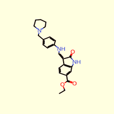 CCOC(=O)c1ccc2c(c1)NC(=O)C2=CNc1ccc(CN2CCCCC2)cc1